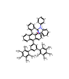 Bc1c(B)c(B)c(-c2cc(-c3c(B)c(B)c(B)c(B)c3B)cc(-c3c4ccccc4c(-c4ccccc4-c4nc5ccccc5n4-c4ccccc4)c4ccccc34)c2)c(B)c1B